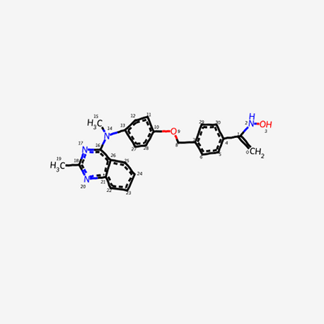 C=C(NO)c1ccc(COc2ccc(N(C)c3nc(C)nc4ccccc34)cc2)cc1